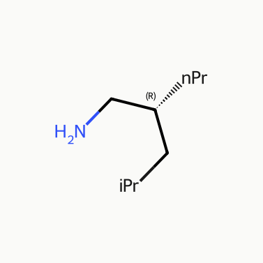 CCC[C@@H](CN)CC(C)C